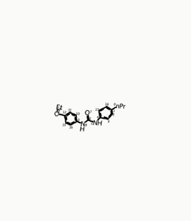 CCCc1ccc(NC(=O)Nc2ccc(OCC)cc2)cc1